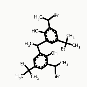 CCC(C)(C)c1cc(C(C)c2cc(C(C)(C)CC)cc(C(C)C(C)C)c2O)c(O)c(C(C)C(C)C)c1